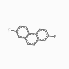 Fc1[c]c2ccc3cc(F)[c]cc3c2cc1